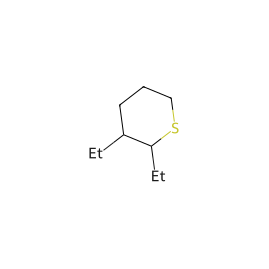 CCC1CCCSC1CC